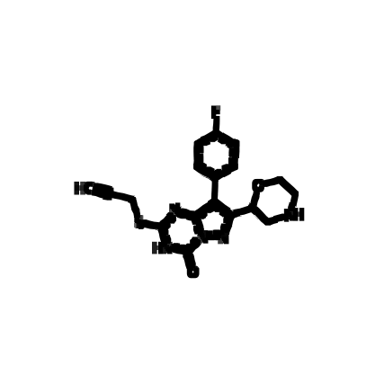 C#CCSc1nc2c(-c3ccc(F)cc3)c(C3CNCCO3)nn2c(=O)[nH]1